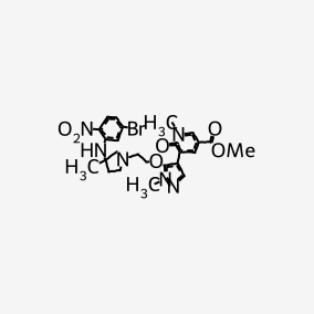 COC(=O)c1cc(-c2cnn(C)c2OCCN2CCC(C)(Nc3cc(Br)ccc3[N+](=O)[O-])C2)c(=O)n(C)c1